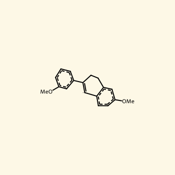 COc1cccc(C2=[C]c3ccc(OC)cc3CC2)c1